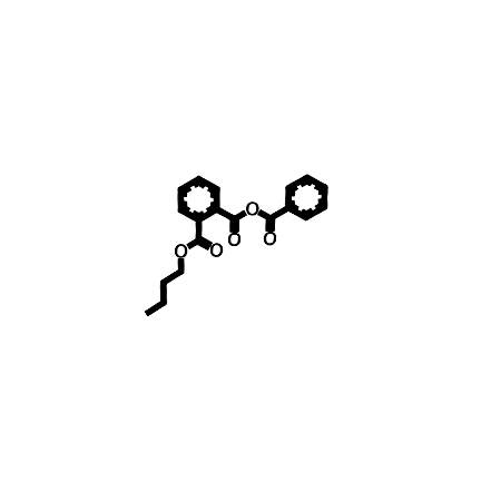 CCCCOC(=O)c1ccccc1C(=O)OC(=O)c1ccccc1